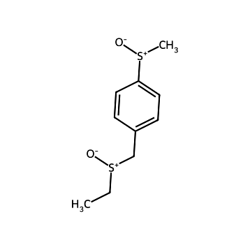 CC[S+]([O-])Cc1ccc([S+](C)[O-])cc1